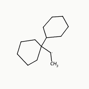 C[CH]C1(C2CCCCC2)CCCCC1